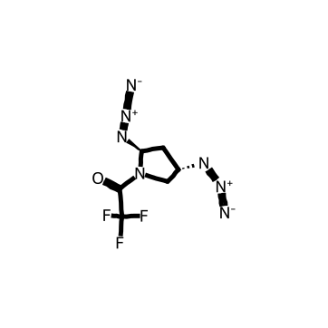 [N-]=[N+]=N[C@H]1C[C@H](N=[N+]=[N-])N(C(=O)C(F)(F)F)C1